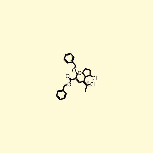 O=C(OCc1ccccc1)C(=C/C(=C(/Cl)I)C1CCCC1Cl)C(=O)OCc1ccccc1